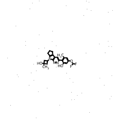 Cc1cc(OC(F)F)cc(O)c1-c1cc2c3c(n(C4CC(C)(O)C4)c2nn1)CCC3